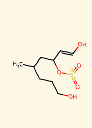 CC(CCCO)CC(C=CO)O[SH](=O)=O